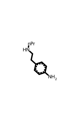 CCCNCCc1ccc(N)cc1